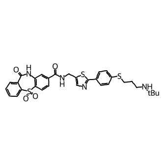 CC(C)(C)NCCCSc1ccc(-c2ncc(CNC(=O)c3ccc4c(c3)NC(=O)c3ccccc3S4(=O)=O)s2)cc1